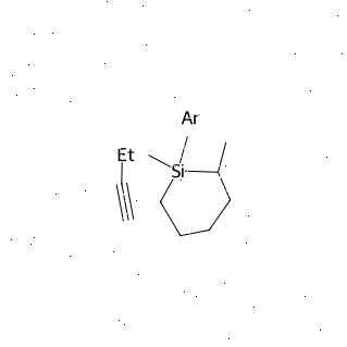 C#CCC.CC1CCCC[Si]1(C)C.[Ar]